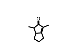 CC1=C2CCCC2C(C)C1=O